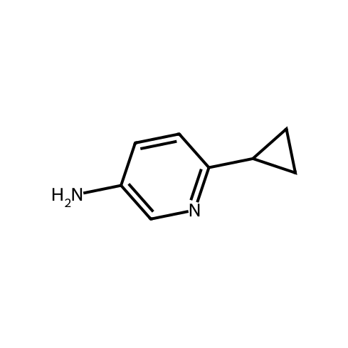 Nc1ccc(C2CC2)nc1